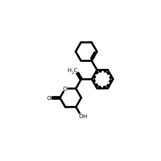 C=C(c1ccccc1C1=CCCCC1)C1CC(O)CC(=O)O1